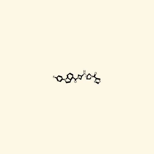 O=C(c1cscn1)N1CC[C@H](NC2CN(C(=O)c3cccc4c3ccn4-c3ccc(F)cc3)C2)C1